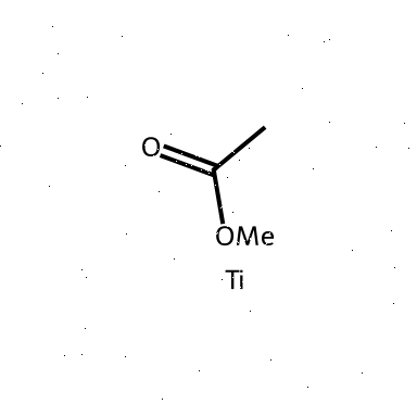 COC(C)=O.[Ti]